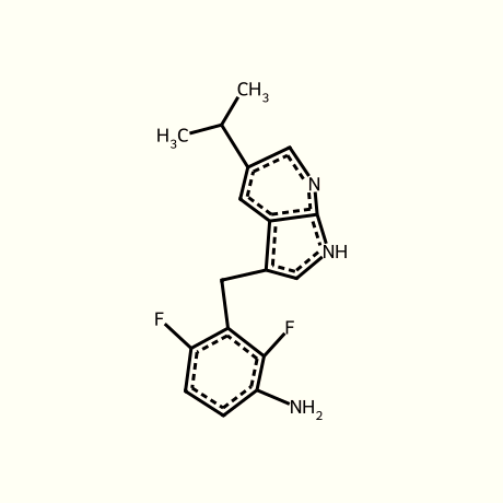 CC(C)c1cnc2[nH]cc(Cc3c(F)ccc(N)c3F)c2c1